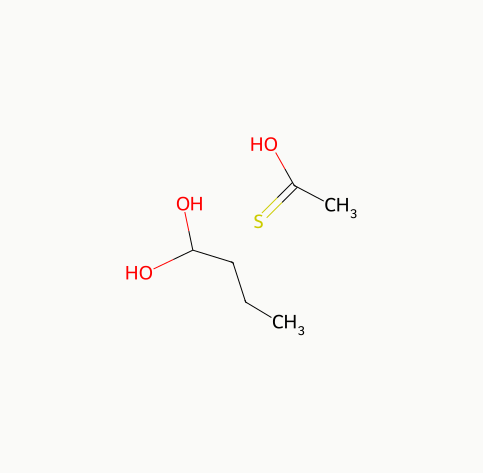 CC(O)=S.CCCC(O)O